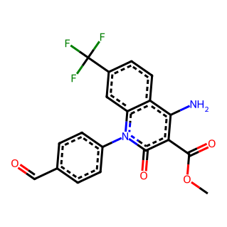 COC(=O)c1c(N)c2ccc(C(F)(F)F)cc2n(-c2ccc(C=O)cc2)c1=O